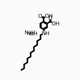 CCCCCCCCCCCCCNc1ccc(C(=O)O)c(C(=O)O)c1.[NaH].[NaH]